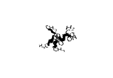 C=C(CCC(=O)O[Si](CCCCC)(CCCCC)CCCCC)C(=O)O